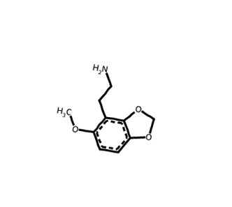 COc1ccc2c(c1CCN)OCO2